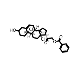 C[C@]12CC[C@H]3[C@@H](CC=C4CC(O)CC[C@@]43C)[C@@H]1CC[C@@H]2C(=O)COC(=O)c1ccccc1